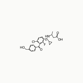 CC(CC(=O)O)N[C@@H](c1ccc(Cl)c(C(=O)c2ccc(CO)cc2)c1F)C1CC1